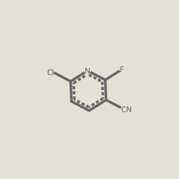 N#Cc1ccc(Cl)nc1F